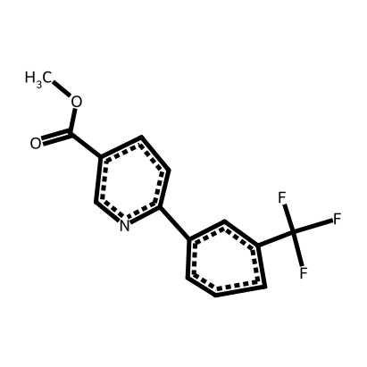 COC(=O)c1ccc(-c2cccc(C(F)(F)F)c2)nc1